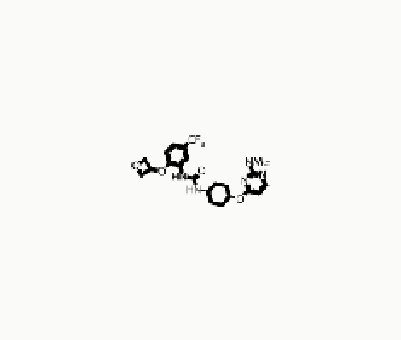 CNc1nccc(O[C@H]2CC[C@H](NC(=O)Nc3cc(C(F)(F)F)ccc3OC3COC3)CC2)n1